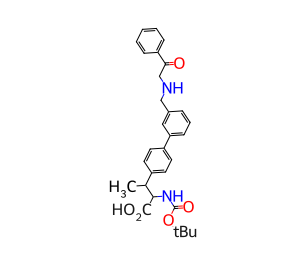 CC(c1ccc(-c2cccc(CNCC(=O)c3ccccc3)c2)cc1)C(NC(=O)OC(C)(C)C)C(=O)O